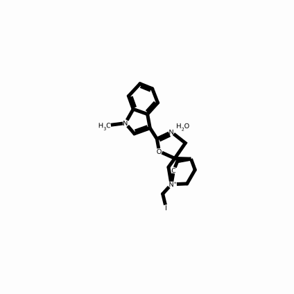 Cn1cc(C2=NCC3(C[N+]4(CI)CCC3CC4)O2)c2ccccc21.O